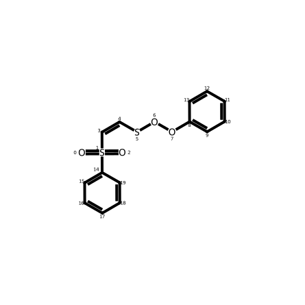 O=S(=O)(/C=C\SOOc1ccccc1)c1ccccc1